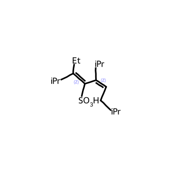 CC/C(=C(\C(=C/CC(C)C)C(C)C)S(=O)(=O)O)C(C)C